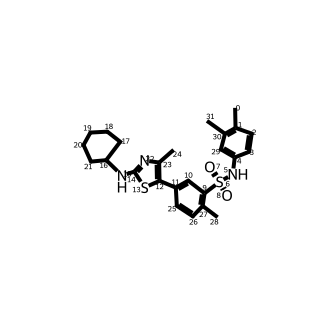 Cc1ccc(NS(=O)(=O)c2cc(-c3sc(NC4CCCCC4)nc3C)ccc2C)cc1C